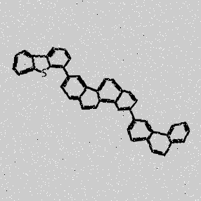 c1ccc2c(c1)ccc1ccc(-c3ccc4ccc5c6cc(-c7cccc8c7sc7ccccc78)ccc6ccc5c4c3)cc12